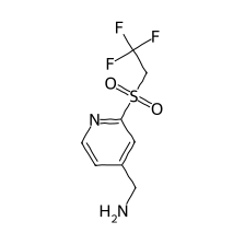 NCc1ccnc(S(=O)(=O)CC(F)(F)F)c1